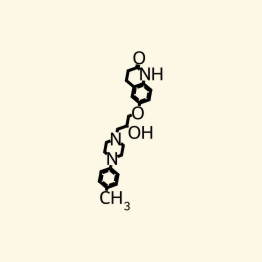 Cc1ccc(N2CCN(C[C@@H](O)COc3ccc4c(c3)CCC(=O)N4)CC2)cc1